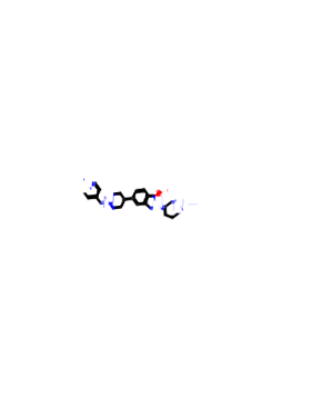 O=C1c2ccc(C3CCN(Cc4ccncc4)CC3)cc2CN1C1CCCNC1